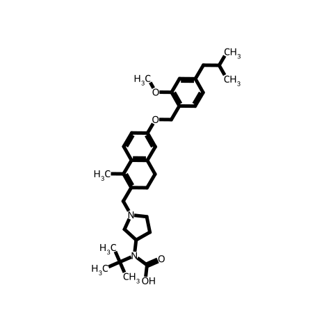 COc1cc(CC(C)C)ccc1COc1ccc2c(c1)CCC(CN1CCC(N(C(=O)O)C(C)(C)C)C1)=C2C